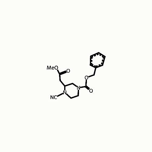 COC(=O)CC1CN(C(=O)OCc2ccccc2)CCN1C#N